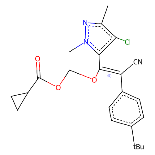 Cc1nn(C)c(/C(OCOC(=O)C2CC2)=C(\C#N)c2ccc(C(C)(C)C)cc2)c1Cl